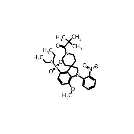 CCN(CC)S(=O)(=O)c1ccc(OC)c2c1C1(CCN(C(=O)C(C)(C)C)CC1)CN2c1ccccc1[N+](=O)[O-]